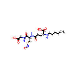 CCCCCN[C@@H](CCC(=O)N[C@@H](CSN=O)C(=O)NCC(=O)O)C(=O)O